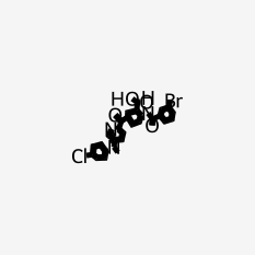 CN(c1ccc(Cl)cc1)c1ccc(C(=O)c2ccc(NC(=O)c3cccc(Br)c3)c(C(=O)O)c2)nc1